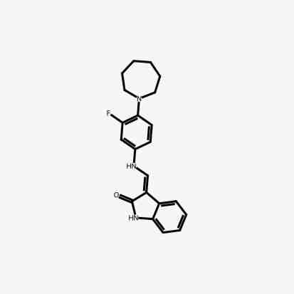 O=C1Nc2ccccc2C1=CNc1ccc(N2CCCCCC2)c(F)c1